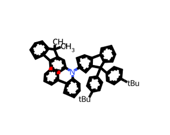 CC(C)(C)c1ccc(C2(c3ccc(C(C)(C)C)cc3)c3ccccc3-c3ccc(N(c4ccc5c(c4)C(C)(C)c4ccccc4-5)c4ccccc4-c4ccccc4)cc32)cc1